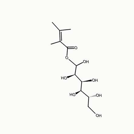 CC(C)=C(C)C(=O)OC(O)[C@H](O)[C@@H](O)[C@H](O)[C@H](O)CO